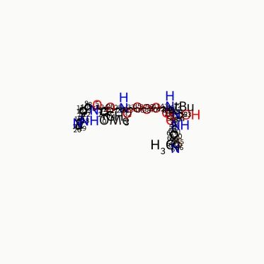 COc1cc(C(=O)N[C@@H]2CCc3ccc(-c4cn5c(n4)CCC5)cc32)cc(OCCCNC(=O)CCOCCOCCOCCC(=O)NC(C(=O)N2C[C@H](O)C[C@H]2C(=O)NCc2ccc(-c3scnc3C)cc2)C(C)(C)C)c1C